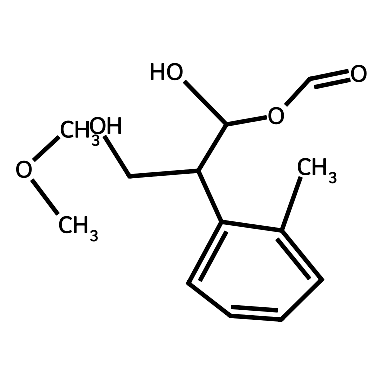 COC.Cc1ccccc1C(CO)C(O)OC=O